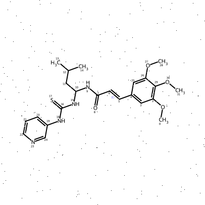 COc1cc(/C=C/C(=O)NC(CC(C)C)NC(=S)Nc2cccnc2)cc(OC)c1OC